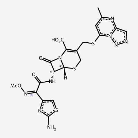 CO/N=C(\C(=O)N[C@@H]1C(=O)N2C(C(=O)O)=C(CSc3cc(C)nc4cnnn34)CS[C@H]12)c1csc(N)n1